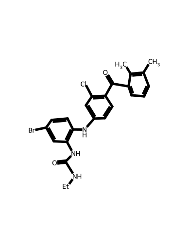 CCNC(=O)Nc1cc(Br)ccc1Nc1ccc(C(=O)c2cccc(C)c2C)c(Cl)c1